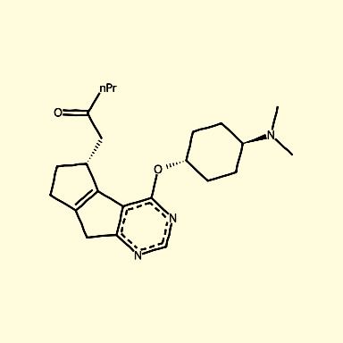 CCCC(=O)C[C@H]1CCC2=C1c1c(ncnc1O[C@H]1CC[C@H](N(C)C)CC1)C2